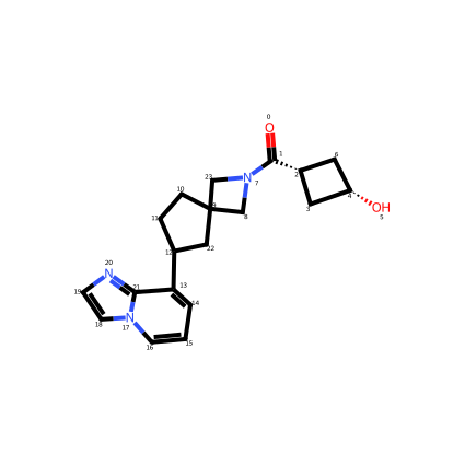 O=C([C@H]1C[C@@H](O)C1)N1CC2(CCC(c3cccn4ccnc34)C2)C1